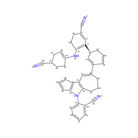 N#CC1=CC([C@@H]2C=C(C3=Cc4c5c(n(-c6ccccc6C#N)c4CCC3)C=C=C5)C=CC2)=C(NC2=CCC(C#N)CC2)CC1